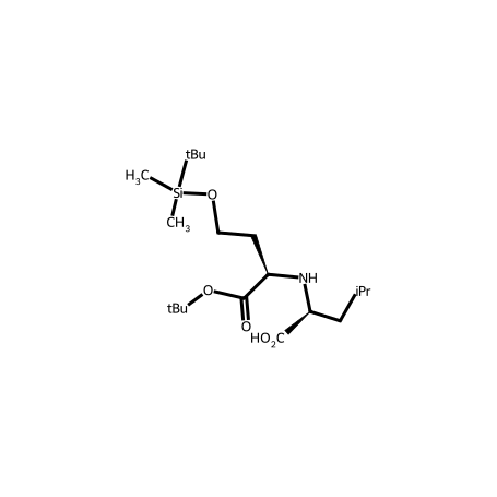 CC(C)C[C@H](N[C@H](CCO[Si](C)(C)C(C)(C)C)C(=O)OC(C)(C)C)C(=O)O